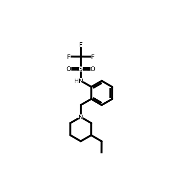 CCC1CCCN(Cc2ccccc2NS(=O)(=O)C(F)(F)F)C1